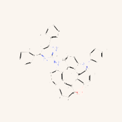 c1ccc(-c2cc(-c3ccccc3)nc(-n3c4ccccc4c4c5c6c7c(ccc6n(-c6ccccc6)c5ccc43)oc3ccccc37)n2)cc1